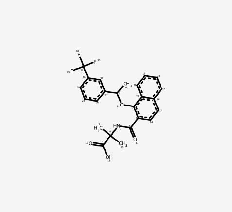 CC(Oc1c(C(=O)NC(C)(C)C(=O)O)ccc2ccccc12)c1cccc(C(F)(F)F)c1